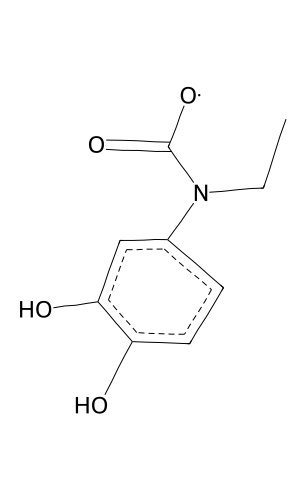 CCN(C([O])=O)c1ccc(O)c(O)c1